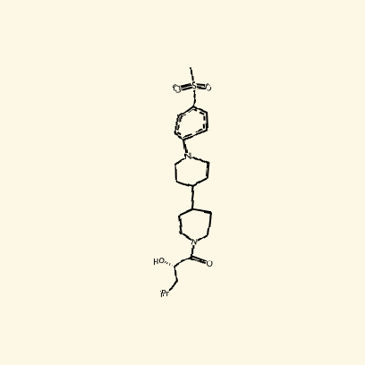 CC(C)C[C@H](O)C(=O)N1CCC(C2CCN(c3ccc(S(C)(=O)=O)cc3)CC2)CC1